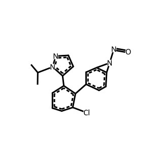 CC(C)n1nccc1-c1cccc(Cl)c1-c1ccc2c(c1)N2N=O